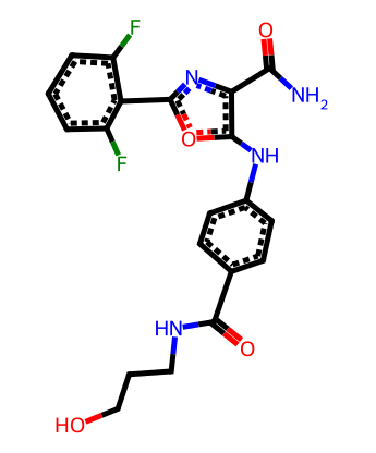 NC(=O)c1nc(-c2c(F)cccc2F)oc1Nc1ccc(C(=O)NCCCO)cc1